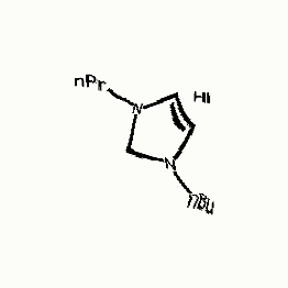 CCCCN1C=CN(CCC)C1.I